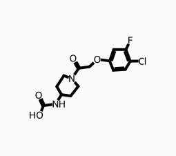 O=C(O)NC1CCN(C(=O)COc2ccc(Cl)c(F)c2)CC1